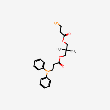 CC(C)(COC(=O)CCP)COC(=O)CCP(c1ccccc1)c1ccccc1